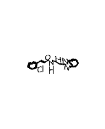 O=C(/C=C/c1ccccc1Cl)NCCc1nc2ccccc2[nH]1